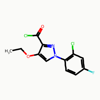 CCOc1cn(-c2ccc(F)cc2Cl)nc1C(=O)Cl